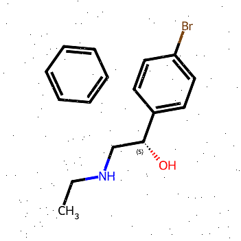 CCNC[C@@H](O)c1ccc(Br)cc1.c1ccccc1